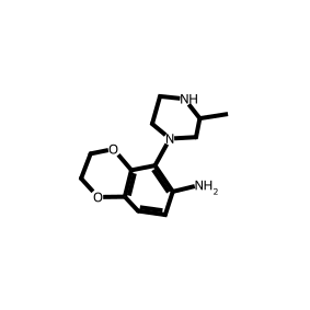 CC1CN(c2c(N)ccc3c2OCCO3)CCN1